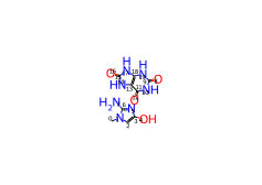 Cn1cc(O)nc1N.O=c1[nH]c(=O)c2[nH]c(=O)[nH]c2[nH]1